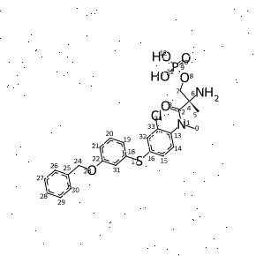 CN(C(=O)[C@@](C)(N)COP(=O)(O)O)c1ccc(Sc2cccc(OCc3ccccc3)c2)cc1Cl